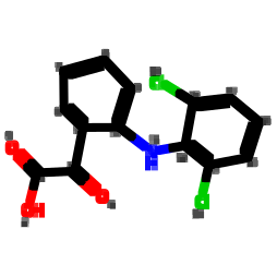 O=C(O)C(=O)c1ccccc1Nc1c(Cl)cccc1Cl